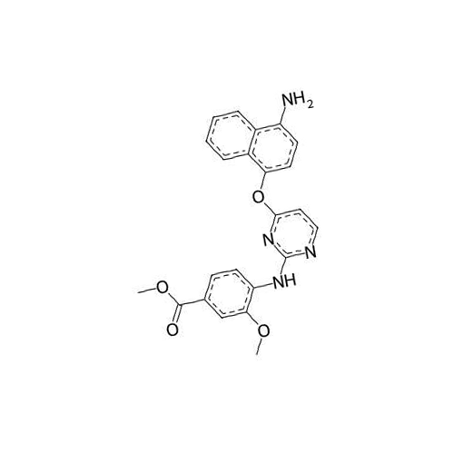 COC(=O)c1ccc(Nc2nccc(Oc3ccc(N)c4ccccc34)n2)c(OC)c1